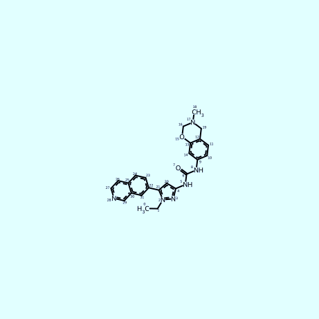 CCn1nc(NC(=O)Nc2ccc3c(c2)OCN(C)C3)cc1-c1ccc2ccncc2c1